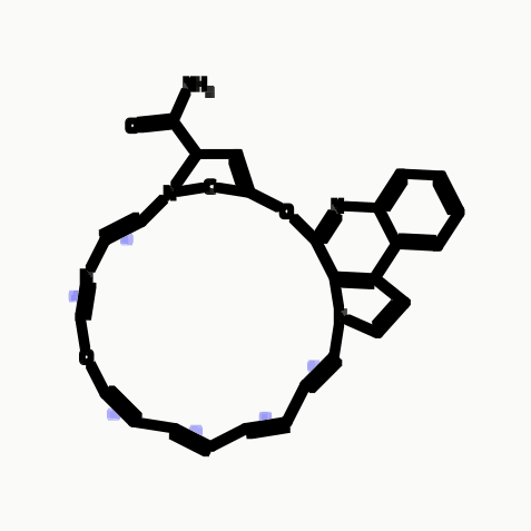 NC(=O)C1C=C2CN1/C=C/N=C\O\C=C/C=C/C=C/C=C/n1ccc3c4ccccc4nc(c31)O2